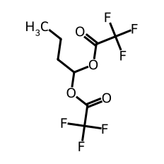 CCCC(OC(=O)C(F)(F)F)OC(=O)C(F)(F)F